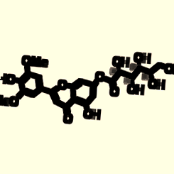 COc1cc(-c2cc(=O)c3c(O)cc(OC(=O)[C@H](O)[C@@H](O)[C@H](O)[C@H](O)CO)cc3o2)cc(OC)c1O